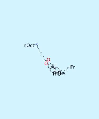 CCCCCCCC/C=C\CCCCCCCC(=O)OC1CC[C@@]2(C)C(CC[C@H]3[C@@H]4CC[C@H]([C@H](C)CCCC(C)C)[C@@]4(C)CC[C@@H]32)C1